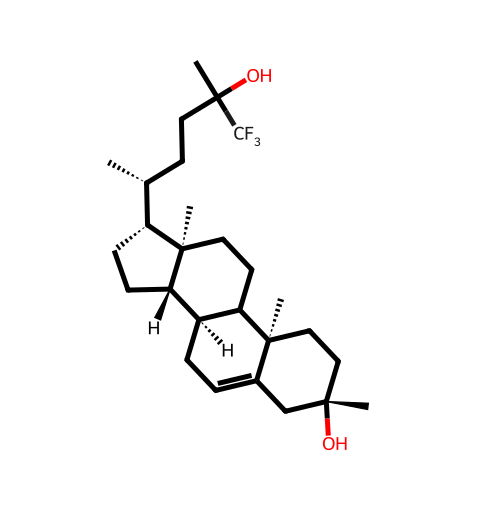 C[C@H](CCC(C)(O)C(F)(F)F)[C@H]1CC[C@H]2[C@@H]3CC=C4C[C@@](C)(O)CC[C@]4(C)C3CC[C@]12C